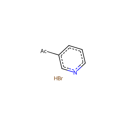 Br.CC(=O)c1cccnc1